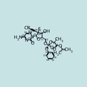 CC(C)OC(=O)[C@H](C)OP(=O)(OC[C@H]1O[C@@H](n2ncc(N)nc2=O)C(F)(C#CCl)[C@H]1O)Oc1ccccc1